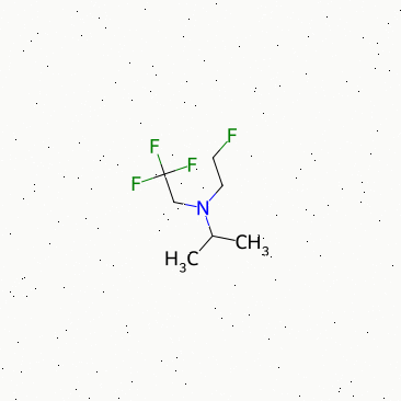 CC(C)N(CCF)CC(F)(F)F